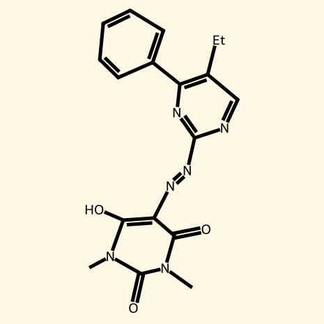 CCc1cnc(N=Nc2c(O)n(C)c(=O)n(C)c2=O)nc1-c1ccccc1